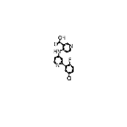 O=C(O)c1cnccc1Nc1ccnc(-c2cc(Cl)ccc2F)c1